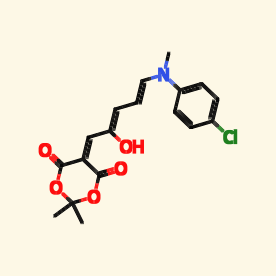 CN(/C=C/C=C(\O)C=C1C(=O)OC(C)(C)OC1=O)c1ccc(Cl)cc1